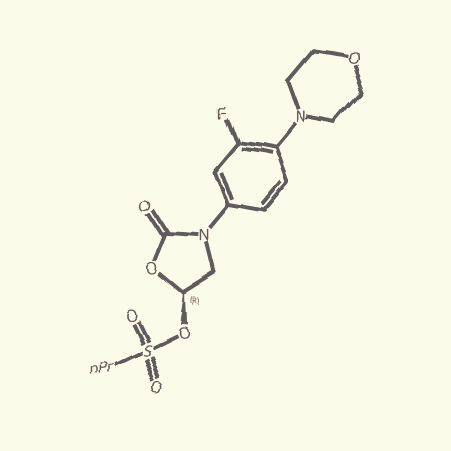 CCCS(=O)(=O)O[C@@H]1CN(c2ccc(N3CCOCC3)c(F)c2)C(=O)O1